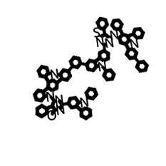 c1ccc(-c2ccc3c4cc5c(c6ccccc6n5-c5nc(-c6ccc7c(c6)c6cc(-c8cccc(-c9ccc%10c%11cc%12c(c%13ccccc%13n%12-c%12nc(-c%13ccc%14c(c%13)c%13ccccc%13n%14-c%13ccccc%13)nc%13oc%14ccccc%14c%12%13)c%12c%13ccccc%13n(c%10c9)c%11%12)c8)ccc6n7-c6ccccc6)nc6sc7ccccc7c56)c5c6ccccc6n(c3c2)c45)cc1